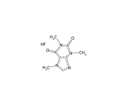 Cn1c(=O)c2c(ncn2C)n(C)c1=O.F